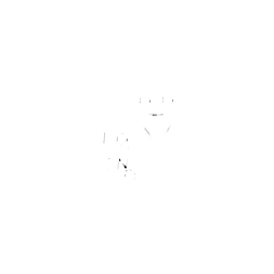 O=[N+]([O-])[C](O)Cc1ccc2c(c1)OCO2